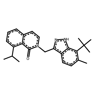 Cc1ccc2c(Cn3ccc4cccc(C(C)C)c4c3=O)n[nH]c2c1C(C)(C)C